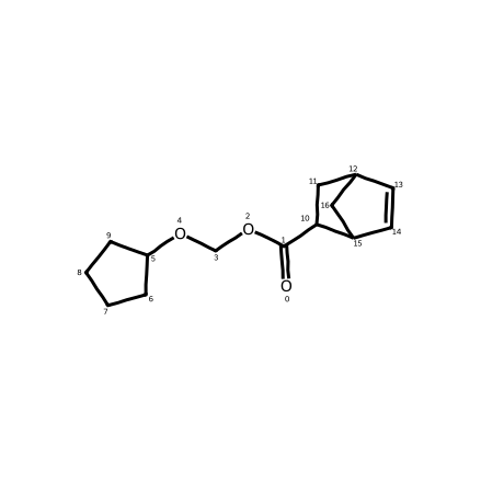 O=C(OCOC1CCCC1)C1CC2C=CC1C2